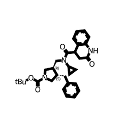 CC(C)(C)OC(=O)N1C[C@@H](Cc2ccccc2)[C@H](CN(C(=O)C2CC(=O)Nc3ccccc32)C2CC2)C1